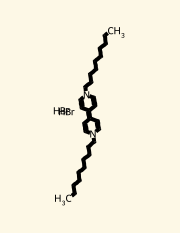 Br.Br.CCCCCCCCCCN1C=CC(=C2C=CN(CCCCCCCCCC)C=C2)C=C1